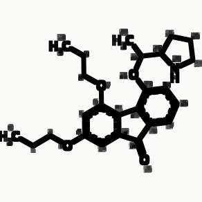 CCCOc1cc(OCCC)c2c(c1)C(=O)c1cccc(OC(C)C3CCCN3)c1-2